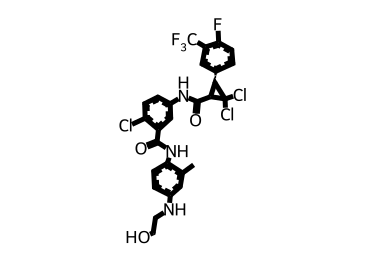 Cc1cc(NCCO)ccc1NC(=O)c1cc(NC(=O)C2[C@H](c3ccc(F)c(C(F)(F)F)c3)C2(Cl)Cl)ccc1Cl